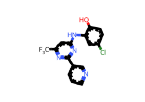 Oc1ccc(Cl)cc1Nc1cc(C(F)(F)F)nc(-c2cccnc2)n1